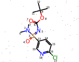 CN(C)S(=O)(=NC(=O)OC(C)(C)C)c1ccc(Cl)nc1